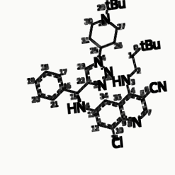 CC(C)(C)CCNc1c(C#N)cnc2c(Cl)cc(N[C@@H](c3ccccc3)c3cn(C4CCN(C(C)(C)C)CC4)nn3)cc12